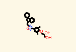 Cc1cc(-c2noc(CCCC3(c4ccccc4)CCCCC3)n2)cc(C)c1OCC(O)CO